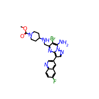 COC(=O)N1CCC(NCc2nc3c(-c4cnc5ccc(F)cc5c4)cnn3c(N)c2Br)CC1